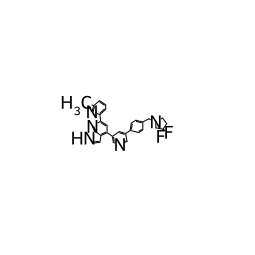 Cc1cccc(-c2cc(-c3cncc(-c4ccc(CN5CCC(F)(F)C5)cc4)c3)c3cc[nH]c3n2)n1